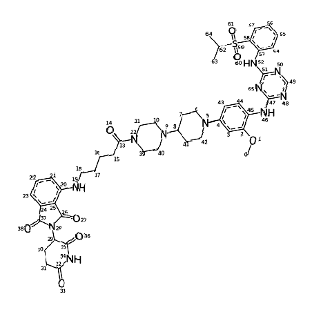 COc1cc(N2CCC(N3CCN(C(=O)CCCCNc4cccc5c4C(=O)N(C4CCC(=O)NC4=O)C5=O)CC3)CC2)ccc1Nc1ncnc(Nc2ccccc2S(=O)(=O)C(C)C)n1